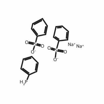 O=S(=O)([O-])c1ccccc1.O=S(=O)([O-])c1ccccc1.Pc1ccccc1.[Na+].[Na+]